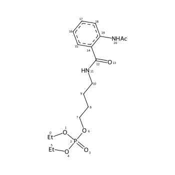 CCOP(=O)(OCC)OCCCCNC(=O)c1ccccc1NC(C)=O